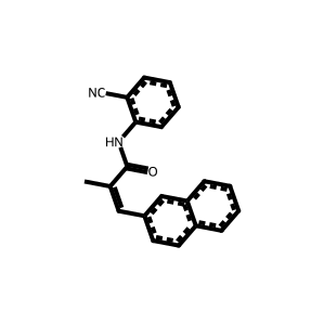 CC(=Cc1ccc2ccccc2c1)C(=O)Nc1ccccc1C#N